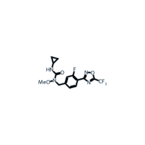 CON(Cc1ccc(-c2noc(C(F)(F)F)n2)c(F)c1)C(=O)NC1CC1